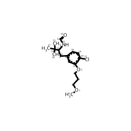 COCCCOc1cc(CC(NC=O)C(C)(C)C)ccc1Cl